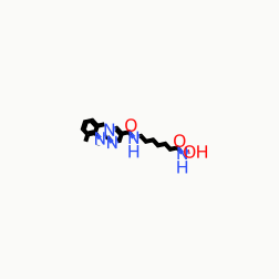 Cc1cccc(C)c1N(C)c1ncc(C(=O)NCCCCCCC(=O)NO)cn1